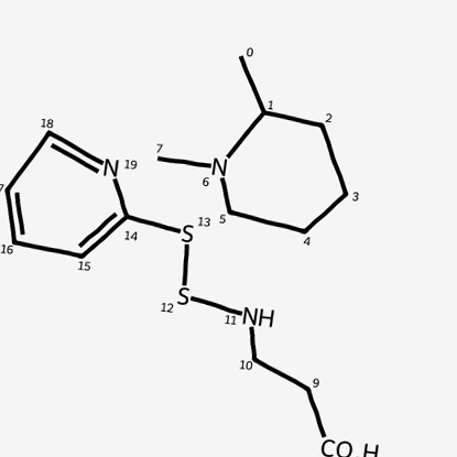 CC1CCCCN1C.O=C(O)CCNSSc1ccccn1